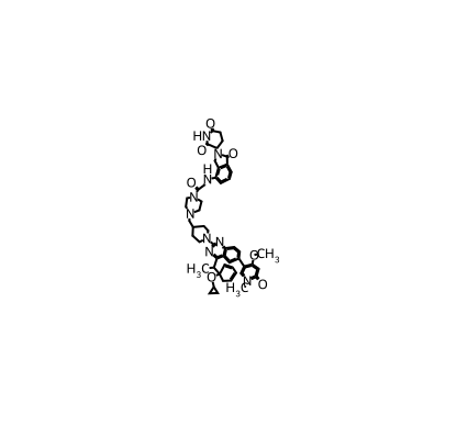 COc1cc(=O)n(C)cc1-c1ccc2nc(N3CCC(CN4CCN(C(=O)CNc5cccc6c5CN(C5CCC(=O)NC5=O)C6=O)CC4)CC3)nc(C(C)C3(OC4CC4)C=CC=CC3)c2c1